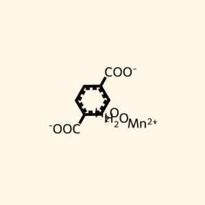 O.O.O=C([O-])c1ccc(C(=O)[O-])cc1.[Mn+2]